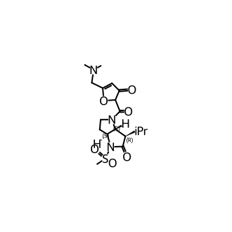 CC(C)[C@H]1C(=O)N(S(C)(=O)=O)[C@H]2CCN(C(=O)C3OC(CN(C)C)=CC3=O)[C@H]12